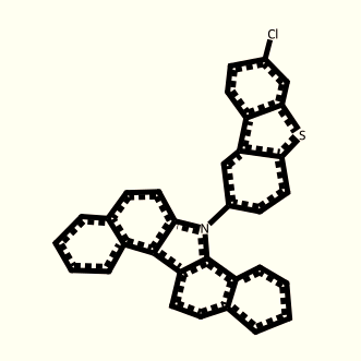 Clc1ccc2c(c1)sc1ccc(-n3c4ccc5ccccc5c4c4ccc5ccccc5c43)cc12